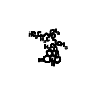 CC(C)(CCC(=O)O)OCCC(C)(C)Oc1ccc2c3c1[C@H]1CCC[C@H]1N3CCNC2